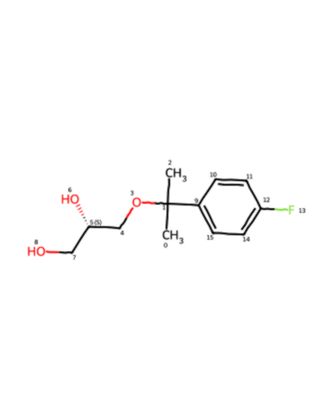 CC(C)(OC[C@@H](O)CO)c1ccc(F)cc1